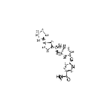 CNC(=O)c1ccc(Oc2ccc3nc(N4CCC(N5CCCCC5)C4)sc3c2)nc1